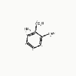 COc1ccccc1C(=O)O.N